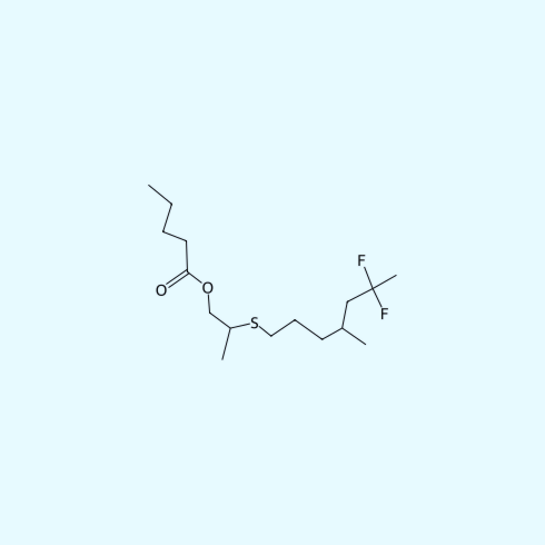 CCCCC(=O)OCC(C)SCCCC(C)CC(C)(F)F